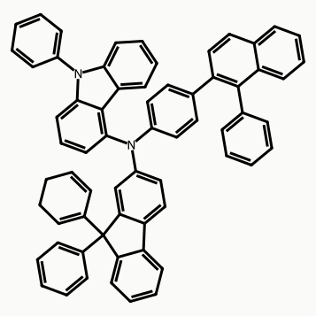 C1=CC(C2(c3ccccc3)c3ccccc3-c3ccc(N(c4ccc(-c5ccc6ccccc6c5-c5ccccc5)cc4)c4cccc5c4c4ccccc4n5-c4ccccc4)cc32)=CCC1